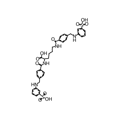 O=C(NCCCCC(NC(=O)c1ccc(CNc2cccc(S(=O)(=O)O)c2)cc1)C(=O)O)c1ccc(CNc2cccc(S(=O)(=O)O)c2)cc1